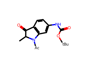 CC(=O)N1c2cc(NC(=O)OC(C)(C)C)ccc2C(=O)C1C